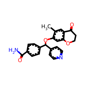 Cc1cc2c(cc1OC(c1ccncc1)c1ccc(C(N)=O)cc1)OCCC2=O